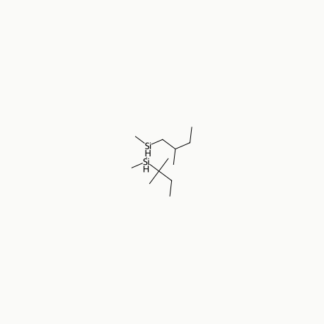 CCC(C)C[SiH](C)[SiH](C)C(C)(C)CC